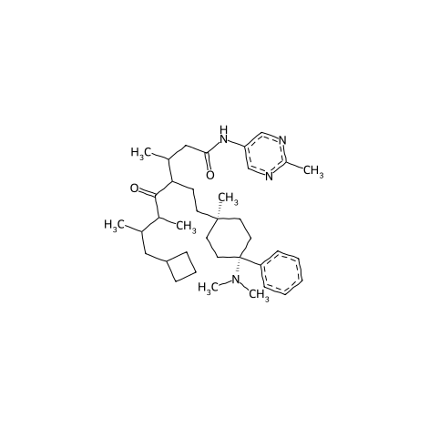 Cc1ncc(NC(=O)CC(C)C(CC[C@]2(C)CC[C@@](c3ccccc3)(N(C)C)CC2)C(=O)C(C)C(C)CC2CCC2)cn1